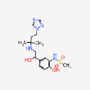 CC(C)(CCn1cncn1)NCC(O)c1ccc(O)c(NS(C)(=O)=O)c1